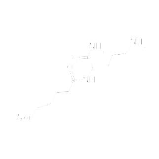 CCCCCCCCCCCCCC(=O)N[C@@H](CCCN)C(N)=O